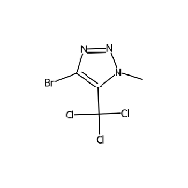 Cn1nnc(Br)c1C(Cl)(Cl)Cl